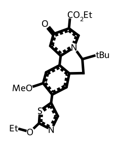 CCOC(=O)c1cn2c(cc1=O)-c1cc(OC)c(-c3cnc(OCC)s3)cc1CC2C(C)(C)C